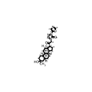 C[C@@]1(O)CC[C@H]2[C@H](CC[C@@H]3[C@@H]2CC[C@]2(C)[C@@H](C(=O)Cn4nnn(-c5cnco5)c4=O)CC[C@@H]32)C1